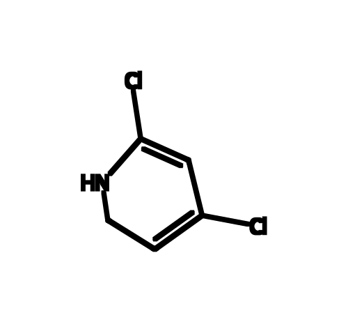 ClC1=CCNC(Cl)=C1